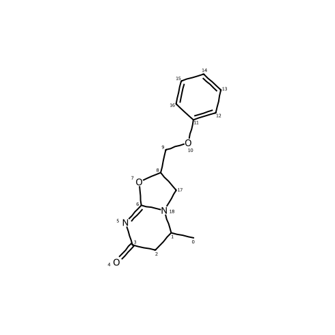 CC1CC(=O)N=C2OC(COc3ccccc3)CN21